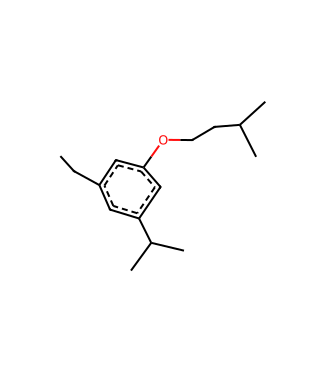 CCc1cc(OCCC(C)C)cc(C(C)C)c1